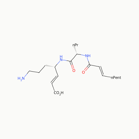 CCCCC/C=C/C(=O)N[C@@H](CCC)C(=O)N[C@H](/C=C/C(=O)O)CCCN